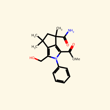 COC(=O)c1c2c(c(CO)n1-c1ccccc1)C(C)(C)CC2(C)C(N)=O